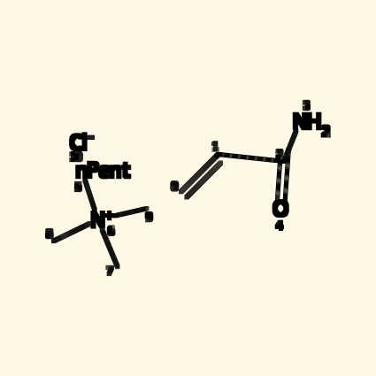 C=CC(N)=O.CCCCC[N+](C)(C)C.[Cl-]